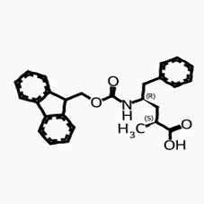 C[C@@H](C[C@H](Cc1ccccc1)NC(=O)OCC1c2ccccc2-c2ccccc21)C(=O)O